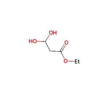 CCOC(=O)CC(O)O